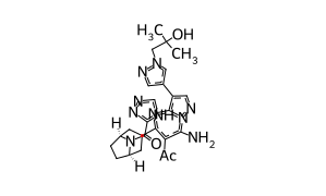 CC(=O)c1c(C2C[C@H]3CC[C@@H](C2)N3C(=O)c2nnc[nH]2)nc2c(-c3cnn(CC(C)(C)O)c3)cnn2c1N